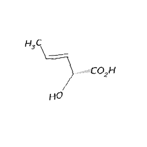 CC=C[C@@H](O)C(=O)O